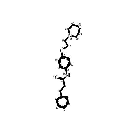 O=C(CCc1ccccc1)Nc1ccc(OCCN2CCOCC2)cc1